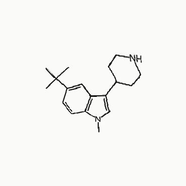 Cn1cc(C2CCNCC2)c2cc(C(C)(C)C)ccc21